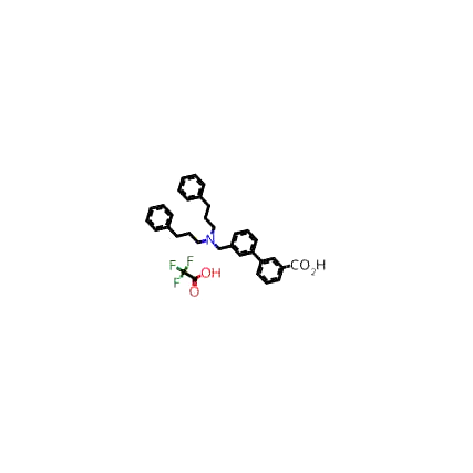 O=C(O)C(F)(F)F.O=C(O)c1cccc(-c2cccc(CN(CCCc3ccccc3)CCCc3ccccc3)c2)c1